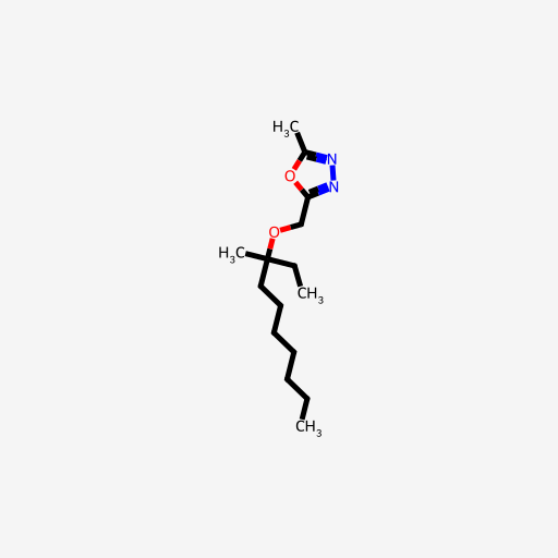 CCCCCCCC(C)(CC)OCc1nnc(C)o1